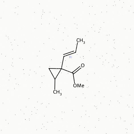 C/C=C/C1(C(=O)OC)CC1C